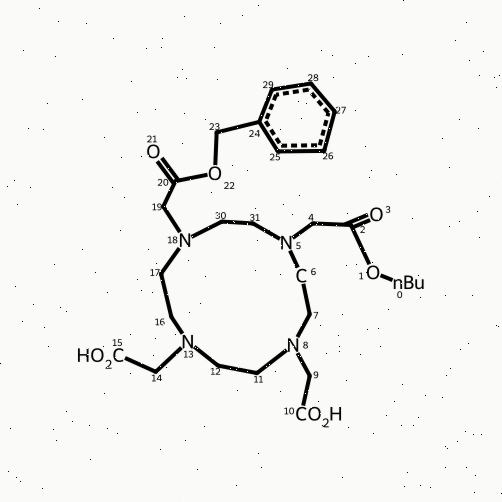 CCCCOC(=O)CN1CCN(CC(=O)O)CCN(CC(=O)O)CCN(CC(=O)OCc2ccccc2)CC1